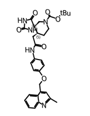 Cc1cc(COc2ccc(NC(=O)C[C@@H]3CCN(C(=O)OC(C)(C)C)C[C@]34NC(=O)NC4=O)cc2)c2ccccc2n1